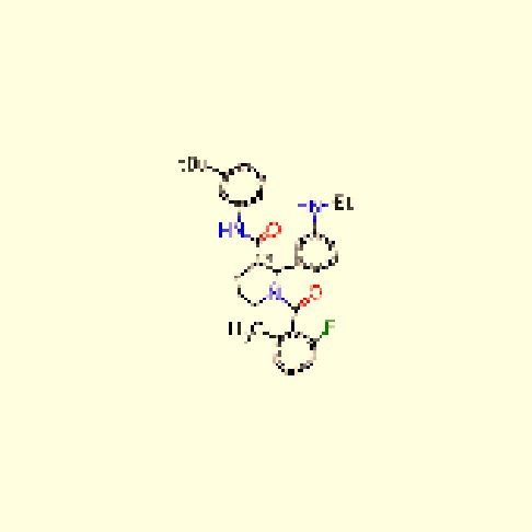 CCNc1cccc(C2[C@@H](C(=O)Nc3cccc(C(C)(C)C)c3)CCCN2C(=O)c2c(C)cccc2F)c1